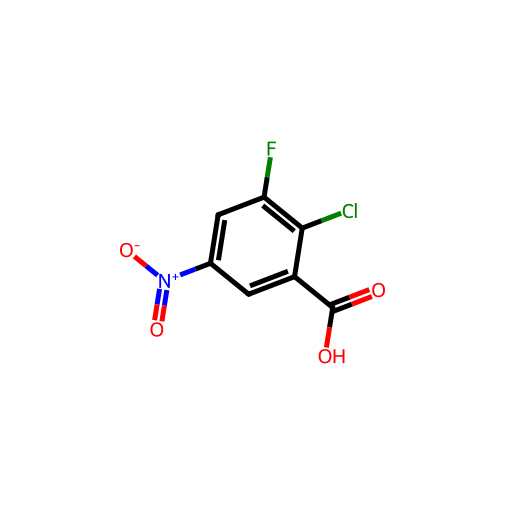 O=C(O)c1cc([N+](=O)[O-])cc(F)c1Cl